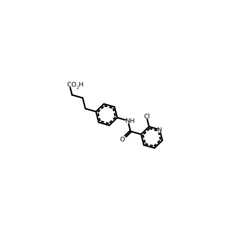 O=C(O)CCCc1ccc(NC(=O)c2cccnc2Cl)cc1